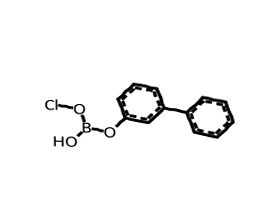 OB(OCl)Oc1cccc(-c2ccccc2)c1